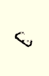 [C-]#[N+]C(CCCCCCCC/C=C\C/C=C\CCCCC)CCCCCCCC/C=C\C/C=C\CCCCC